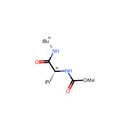 CC[C@@H](C)NC(=O)[C@H](NC(=O)OC)C(C)C